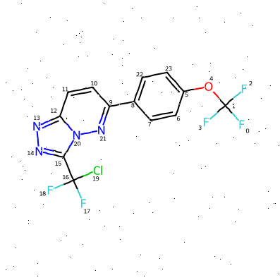 FC(F)(F)Oc1ccc(-c2ccc3nnc(C(F)(F)Cl)n3n2)cc1